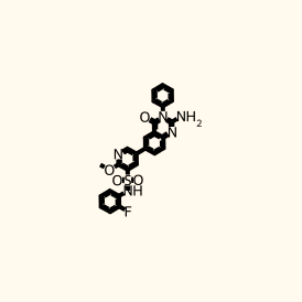 COc1ncc(-c2ccc3nc(N)n(-c4ccccc4)c(=O)c3c2)cc1S(=O)(=O)Nc1ccccc1F